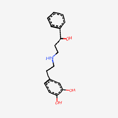 Oc1ccc(CCNCCC(O)c2ccccc2)cc1O